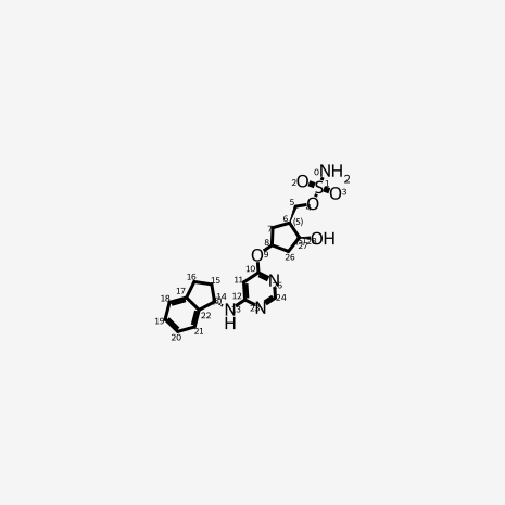 NS(=O)(=O)OC[C@@H]1CC(Oc2cc(N[C@H]3CCc4ccccc43)ncn2)C[C@@H]1O